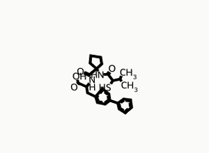 CC(C)C(S)C(=O)NC1(C(=O)NC(Cc2ccc(-c3ccccc3)cc2)C(=O)O)CCCC1